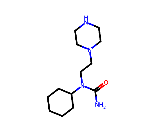 NC(=O)N(CCN1CCNCC1)C1CCCCC1